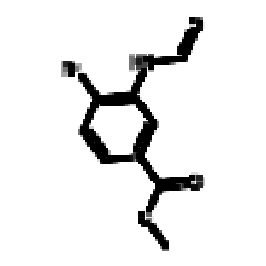 COC(=O)c1ccc(Br)c(NC=O)c1